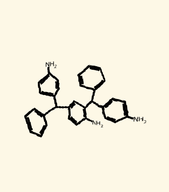 Nc1ccc(C(c2ccccc2)c2ccc(N)c(C(c3ccccc3)c3ccc(N)cc3)c2)cc1